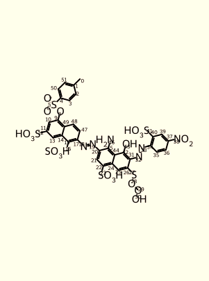 Cc1ccc(S(=O)(=O)Oc2cc(S(=O)(=O)O)cc3c(S(=O)(=O)O)c(N=Nc4cc(S(=O)(=O)O)c5cc(SOOO)c(N=Nc6ccc([N+](=O)[O-])cc6S(=O)(=O)O)c(O)c5c4N)ccc23)cc1